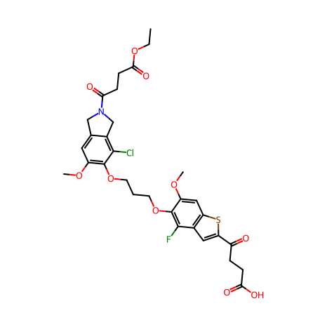 CCOC(=O)CCC(=O)N1Cc2cc(OC)c(OCCCOc3c(OC)cc4sc(C(=O)CCC(=O)O)cc4c3F)c(Cl)c2C1